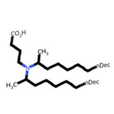 CCCCCCCCCCCCCCCC(C)N(CCCC(=O)O)C(C)CCCCCCCCCCCCCCC